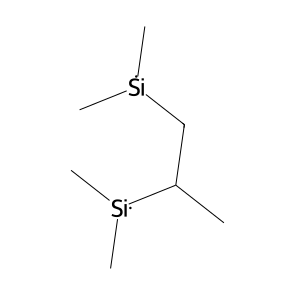 CC(C[Si](C)C)[Si](C)C